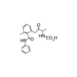 Cc1cccc(CC(=O)C(C)NC(=O)O)c1C(=O)Nc1ccccc1